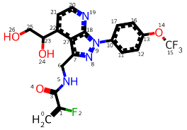 C=C(F)C(=O)NCc1nn(-c2ccc(OC(F)(F)F)cc2)c2nccc(C(O)CO)c12